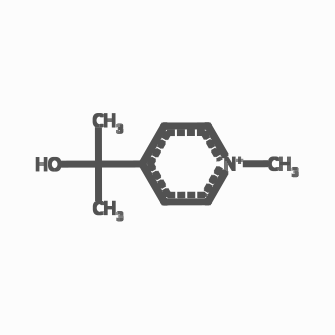 C[n+]1ccc(C(C)(C)O)cc1